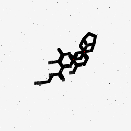 Cc1nc(CC2CC3CCC(C2)N3c2ccc(C(C)(C)C)cc2)nc(C(=O)NCC(=O)O)c1O